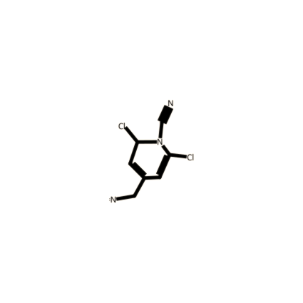 [N]CC1=CC(Cl)N(C#N)C(Cl)=C1